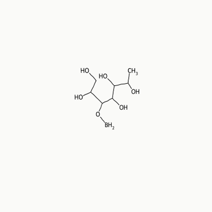 BOC(C(O)CO)C(O)C(O)C(C)O